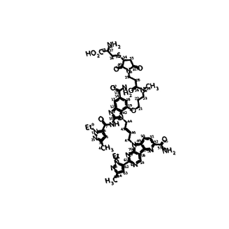 CCn1nc(C)cc1C(=O)Nc1nc2cc(C(N)=O)cc(OCCCN(C)C(=O)CCN3C(=O)CC(SC[C@H](N)C(=O)O)C3=O)c2n1C/C=C/Cn1c2ccc(C(N)=O)nc2c2cnc(-c3cc(C)nn3CC)nc21